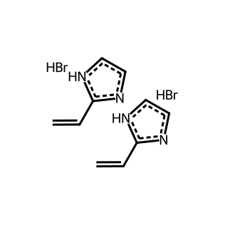 Br.Br.C=Cc1ncc[nH]1.C=Cc1ncc[nH]1